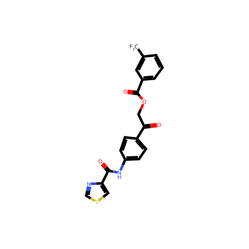 O=C(COC(=O)c1cccc(C(F)(F)F)c1)c1ccc(NC(=O)c2cscn2)cc1